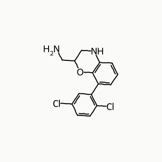 NCC1CNc2cccc(-c3cc(Cl)ccc3Cl)c2O1